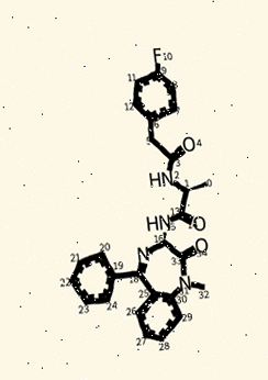 C[C@H](NC(=O)Cc1ccc(F)cc1)C(=O)N[C@H]1N=C(c2ccccc2)c2ccccc2N(C)C1=O